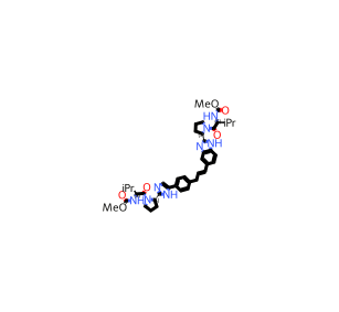 COC(=O)N[C@H](C(=O)N1CCC[C@H]1c1ncc(-c2ccc(CC=Cc3ccc4[nH]c([C@@H]5CCCN5C(=O)[C@@H](NC(=O)OC)C(C)C)nc4c3)cc2)[nH]1)C(C)C